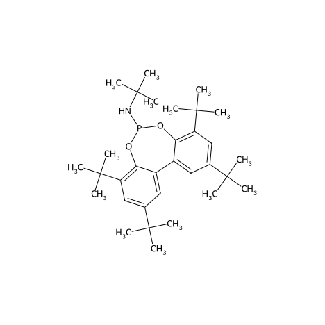 CC(C)(C)Np1oc2c(C(C)(C)C)cc(C(C)(C)C)cc2c2cc(C(C)(C)C)cc(C(C)(C)C)c2o1